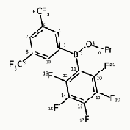 CC(C)OB(c1cc(C(F)(F)F)cc(C(F)(F)F)c1)c1c(F)c(F)c(F)c(F)c1F